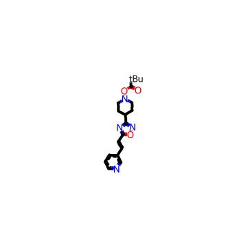 CC(C)(C)C(=O)ON1CCC(c2noc(/C=C/c3cccnc3)n2)CC1